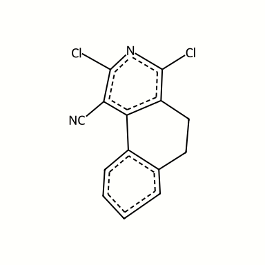 N#Cc1c(Cl)nc(Cl)c2c1-c1ccccc1CC2